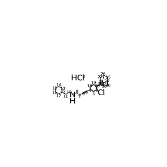 Cl.Clc1cc(C#CCCNCCC2CCCCC2)ccc1C1C2CC3CC(C2)CC1C3